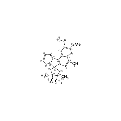 CSc1cc2c(O)cc3c(c2cc1CS)-c1ccccc1C31CC(C)(C)C(C)(C)C1